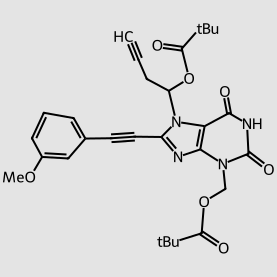 C#CCC(OC(=O)C(C)(C)C)n1c(C#Cc2cccc(OC)c2)nc2c1c(=O)[nH]c(=O)n2COC(=O)C(C)(C)C